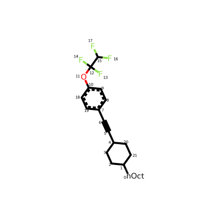 CCCCCCCCC1CCC(C#Cc2ccc(OC(F)(F)C(F)F)cc2)CC1